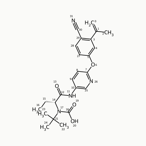 C=C(C)c1cc(Oc2ccc(NC(=O)[C@@H](CC)N(C(=O)O)C(C)(C)C)cn2)ccc1C#N